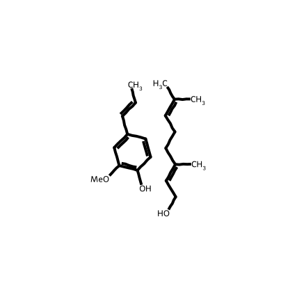 C/C=C/c1ccc(O)c(OC)c1.CC(C)=CCC/C(C)=C/CO